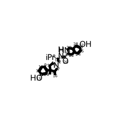 CC(C)[C@@H](CN1CCC(C)(c2cccc(O)c2)C(C)C1)NC(=O)[C@H]1Cc2ccc(O)cc2CN1